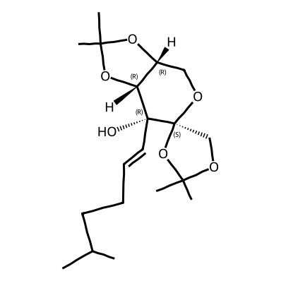 CC(C)CCC=C[C@@]1(O)[C@@H]2OC(C)(C)O[C@@H]2CO[C@]12COC(C)(C)O2